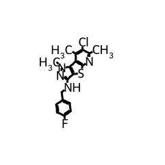 Cc1nc2sc3c(NCc4ccc(F)cc4)nn(C)c3c2c(C)c1Cl